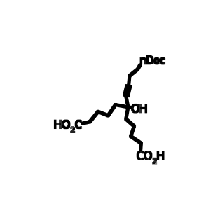 CCCCCCCCCCCCC#CC(O)(CCCCC(=O)O)CCCCC(=O)O